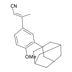 COc1ccc(C(C)=CC#N)cc1C12CC3CC(CC(C3)C1)C2